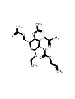 C=CCOC(=O)N[C@@H]1[C@@H](OCC)O[C@H](COC(C)=O)[C@@H](OC(C)=O)[C@@H]1OC(C)=O